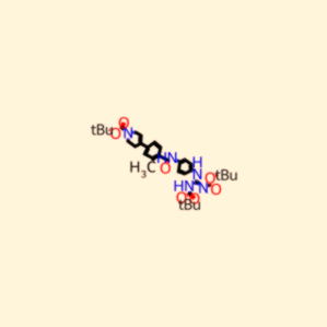 Cc1cc(C2=CCN(C(=O)OC(C)(C)C)CC2)ccc1C(=O)Nc1ccc(NC(=NC(=O)OC(C)(C)C)NC(=O)OC(C)(C)C)cc1